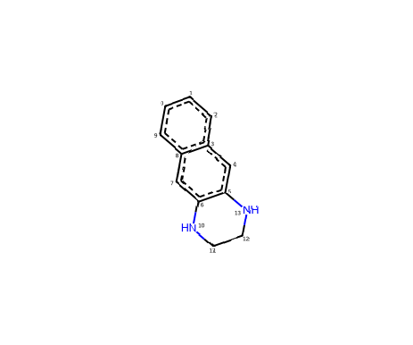 c1ccc2cc3c(cc2c1)NCCN3